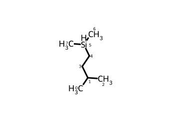 CC(C)CC[SiH](C)C